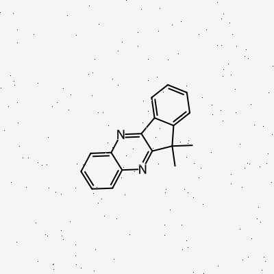 CC1(C)c2ccccc2-c2nc3ccccc3nc21